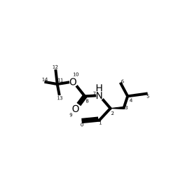 C=C[C@H](CC(C)C)NC(=O)OC(C)(C)C